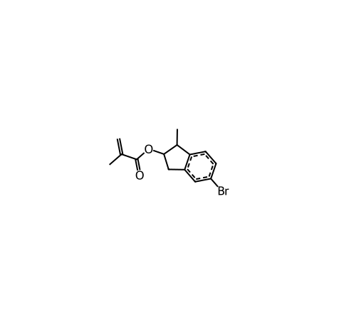 C=C(C)C(=O)OC1Cc2cc(Br)ccc2C1C